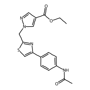 CCOC(=O)c1cnn(Cc2nc(-c3ccc(NC(C)=O)cc3)cs2)c1